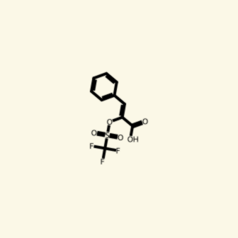 O=C(O)C(=Cc1ccccc1)OS(=O)(=O)C(F)(F)F